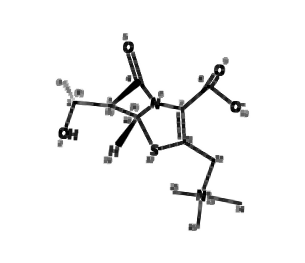 C[C@@H](O)[C@H]1C(=O)N2C(C(=O)[O-])=C(C[N+](C)(C)C)S[C@H]12